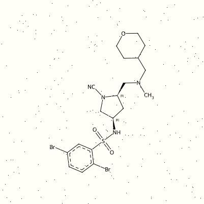 CN(CC1CCOCC1)C[C@H]1C[C@@H](NS(=O)(=O)c2cc(Br)ccc2Br)CN1C#N